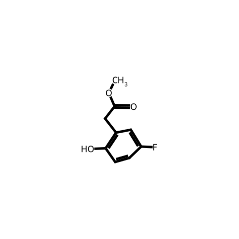 COC(=O)Cc1cc(F)ccc1O